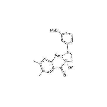 COc1cccc(N2CC[C@@]3(O)C(=O)c4cc(C)c(C)cc4N=C23)c1